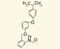 CC(C)c1ccc(Oc2cccc(OCc3ccccc3NC=O)c2)cc1